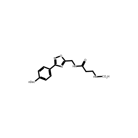 CCCCCCCCCCc1ccc(-c2noc(CNC(=O)CCNC(=O)O)n2)cc1